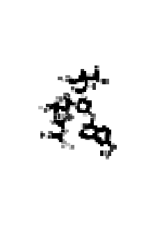 C=CC1C[C@]1(NC(=O)[C@@H]1C[C@@H](Oc2nccc3cc(OC)ccc23)CN1C(=O)[C@@H](NC(=O)OC(=C)C)C(C)(C)C)C(=O)O